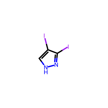 Ic1c[nH]nc1I